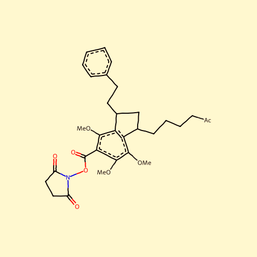 COc1c(OC)c2c(c(OC)c1C(=O)ON1C(=O)CCC1=O)C(CCc1ccccc1)CC2CCCCC(C)=O